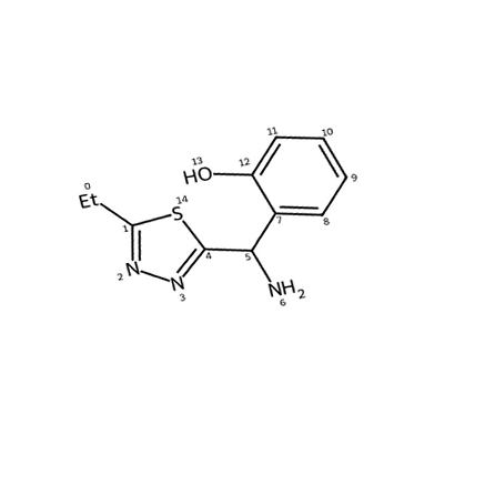 CCc1nnc(C(N)c2ccccc2O)s1